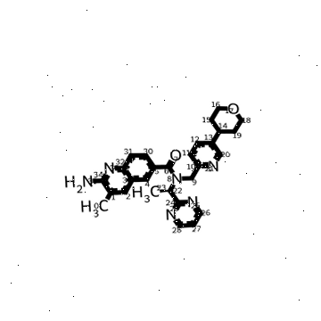 Cc1cc2cc(C(=O)N(Cc3ccc(C4CCOCC4)cn3)[C@H](C)c3ncccn3)ccc2nc1N